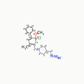 COC1(Cl)CC(CN2CCC(CN=[N+]=[N-])CC2)=C(C)C=C1c1ccccc1